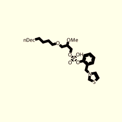 CCCCCCCCCCCCCCOCC(COP(=O)(O)Oc1ccccc1CN1C=CSC1)OC